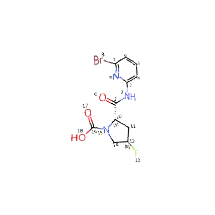 O=C(Nc1cccc(Br)n1)[C@@H]1C[C@@H](F)CN1C(=O)O